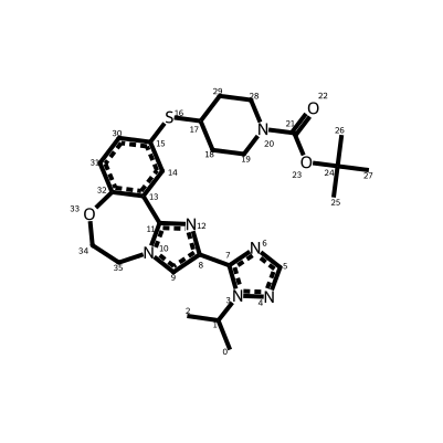 CC(C)n1ncnc1-c1cn2c(n1)-c1cc(SC3CCN(C(=O)OC(C)(C)C)CC3)ccc1OCC2